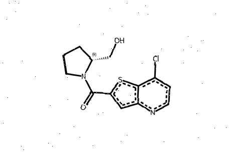 O=C(c1cc2nccc(Cl)c2s1)N1CCC[C@@H]1CO